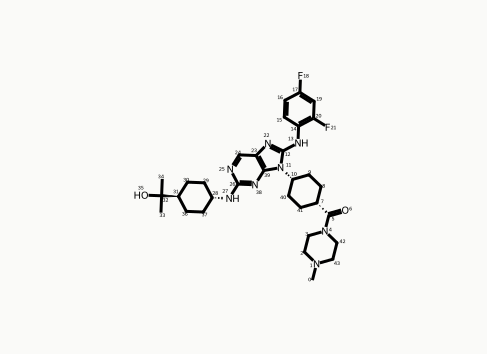 CN1CCN(C(=O)[C@H]2CC[C@@H](n3c(Nc4ccc(F)cc4F)nc4cnc(N[C@H]5CC[C@H](C(C)(C)O)CC5)nc43)CC2)CC1